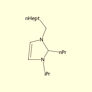 CCCCCCCCN1C=CN(C(C)C)C1CCC